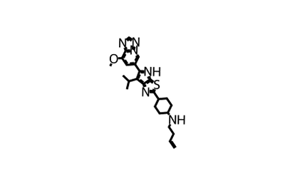 C=CCCNC1CCC(c2nc3c(C(C)C)c(-c4cc(OC)c5ncnn5c4)[nH]c3s2)CC1